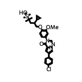 COc1cc(-n2cnn3cc(-c4ccc(Cl)cc4)cc3c2=O)ccc1OCC(CC(C)(C)[Si](C)(C)O)C1CC1